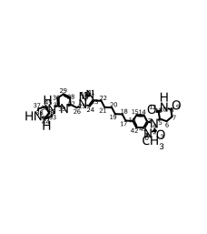 Cn1c(=O)n(C2CCC(=O)NC2=O)c2ccc(CCCCCCc3cn(Cc4cccc(N5C[C@H]6C[C@@H]5CN6)n4)nn3)cc21